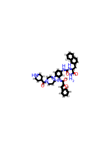 NC(=O)C(Cc1ccc2ccccc2c1)NC(=O)Nc1ccc(N2CCCN(C(=O)C3CCNCC3)CC2)c(NC(=O)c2cc3ccccc3o2)c1